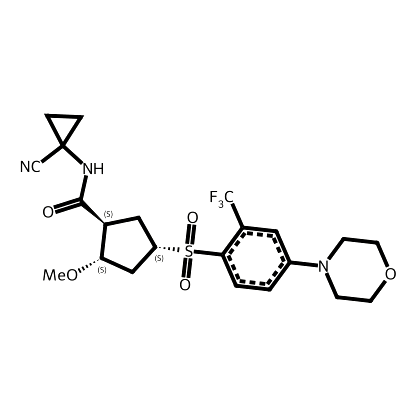 CO[C@H]1C[C@@H](S(=O)(=O)c2ccc(N3CCOCC3)cc2C(F)(F)F)C[C@@H]1C(=O)NC1(C#N)CC1